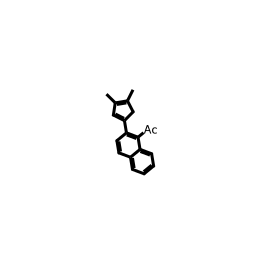 CC(=O)c1c(C2=CC(C)=C(C)C2)ccc2ccccc12